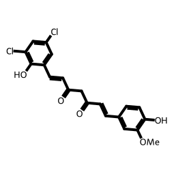 COc1cc(/C=C/C(=O)CC(=O)/C=C/c2cc(Cl)cc(Cl)c2O)ccc1O